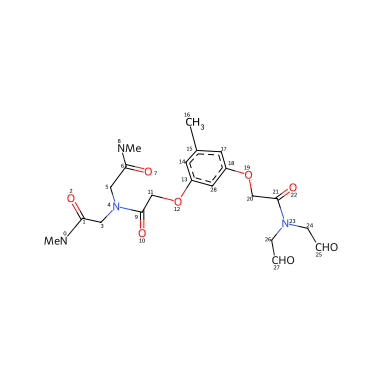 CNC(=O)CN(CC(=O)NC)C(=O)COc1cc(C)cc(OCC(=O)N(CC=O)CC=O)c1